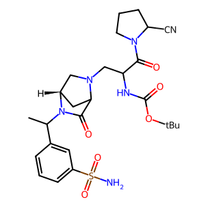 CC(c1cccc(S(N)(=O)=O)c1)N1C(=O)C2C[C@H]1CN2CC(NC(=O)OC(C)(C)C)C(=O)N1CCCC1C#N